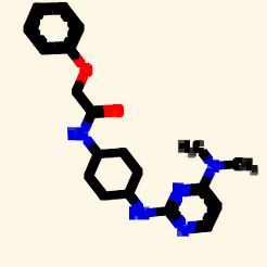 CN(C)c1ccnc(NC2CCC(NC(=O)COc3ccccc3)CC2)n1